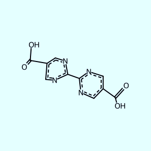 O=C(O)c1cnc(-c2ncc(C(=O)O)cn2)nc1